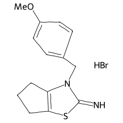 Br.COc1ccc(Cn2c3c(sc2=N)CCC3)cc1